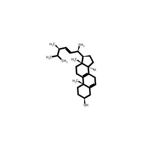 CC(C)[C@@H](C)/C=C/[C@@H](C)[C@H]1CC[C@H]2C3=C(CC[C@]12C)[C@@]1(C)CC[C@H](O)CC1=CC3